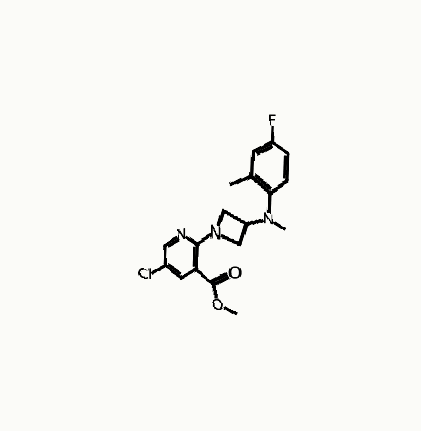 COC(=O)c1cc(Cl)cnc1N1CC(N(C)c2ccc(F)cc2C)C1